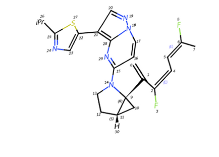 C=C(/C(F)=C\C=C(/C)F)[C@@]12C[C@@H]1CCN2c1ccn2ncc(-c3cnc(C(C)C)s3)c2n1